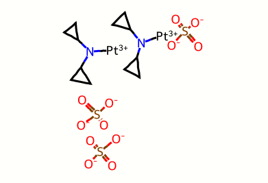 O=S(=O)([O-])[O-].O=S(=O)([O-])[O-].O=S(=O)([O-])[O-].[Pt+3][N](C1CC1)C1CC1.[Pt+3][N](C1CC1)C1CC1